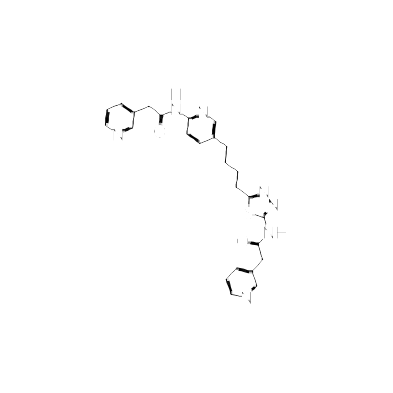 O=C(Cc1cccnc1)Nc1ccc(CCCCc2nnc(NC(=O)Cc3cccnc3)s2)cn1